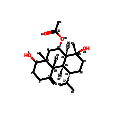 C=C1CC[C@@H](O)[C@]2(C)C[C@H](OC(C)=O)[C@@H]3[C@@H]([C@@H](C(C)C)CC[C@@]3(C)O)[C@H]12